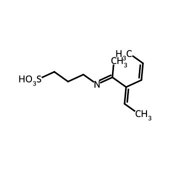 C\C=C/C(=C\C)C(/C)=N/CCCS(=O)(=O)O